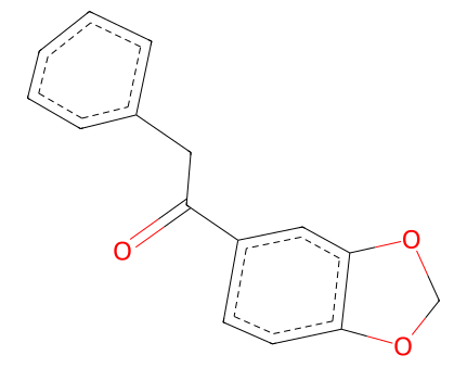 O=C(Cc1ccccc1)c1ccc2c(c1)OCO2